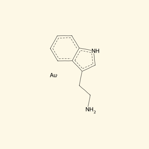 NCCc1c[nH]c2ccccc12.[Au]